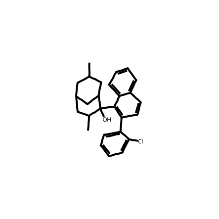 CC1CC2CC(C)C(O)(c3c(-c4ccccc4Cl)ccc4ccccc34)C(C1)C2